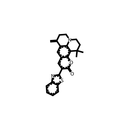 C=C1CCN2CCC(C)(C)c3c2c1cc1cc(-c2nc4ccccc4s2)c(=O)oc31